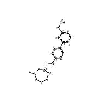 CN1CCCO[C@@H](COc2ccc(-c3nccc(CO)n3)cc2)C1